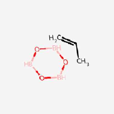 B1OBOBO1.C=CC